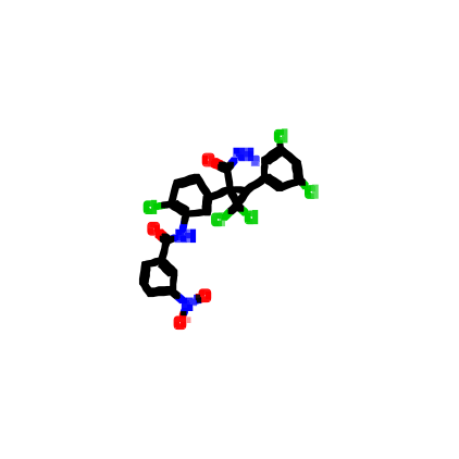 NC(=O)C1(c2ccc(Cl)c(NC(=O)c3cccc([N+](=O)[O-])c3)c2)C(c2cc(Cl)cc(Cl)c2)C1(Cl)Cl